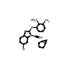 C#Cn1c(Oc2cccc(C)c2C(=O)O)nc2ccc(Cl)cc21.c1cc2cc-2c1